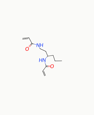 C=CC(=O)NCCC(CCC)NC(=O)C=C